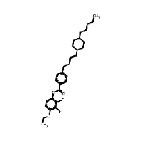 CCCCCC1CCC(C=CCCc2ccc(C(=O)Oc3ccc(OCC)c(F)c3F)cc2)CC1